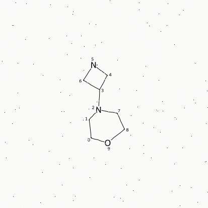 C1CN(C2C[N]C2)CCO1